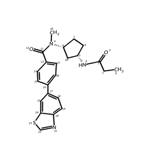 CCC(=O)N[C@H]1CC[C@@H](N(C)C(=O)c2ccc(-c3ccc4ncsc4c3)cc2)C1